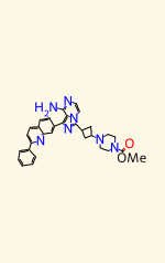 COC(=O)N1CCN(C2CC(c3nc(-c4ccc5ccc(-c6ccccc6)nc5c4)c4c(N)nccn34)C2)CC1